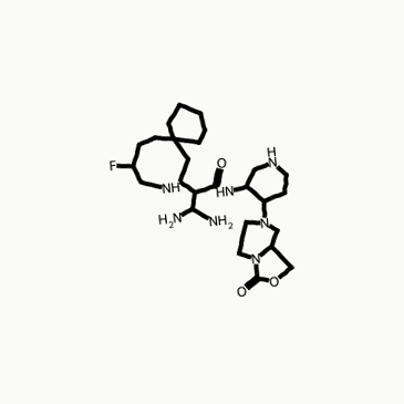 NC(N)C(C(=O)NC1CNCCC1N1CCN2C(=O)OCC2C1)C1CC2(CCCCC2)CCC(F)CN1